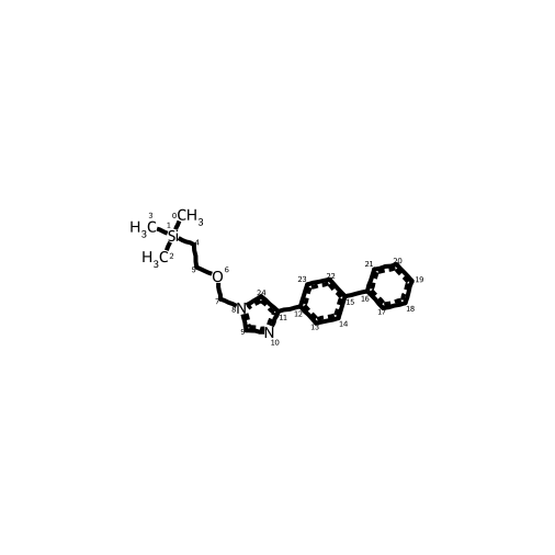 C[Si](C)(C)CCOCn1cnc(-c2ccc(-c3ccccc3)cc2)c1